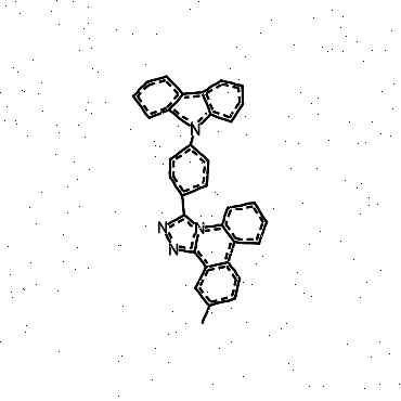 Cc1ccc2c3ccccc3n3c(-c4ccc(-n5c6ccccc6c6ccccc65)cc4)nnc3c2c1